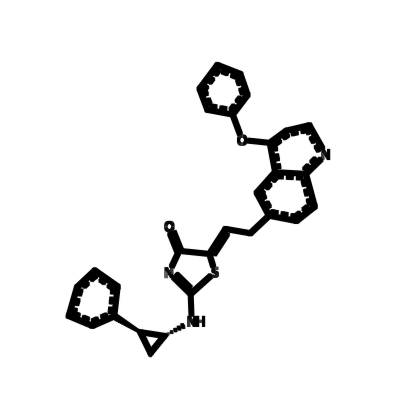 O=C1N=C(N[C@@H]2C[C@H]2c2ccccc2)S/C1=C\Cc1ccc2nccc(Oc3ccccc3)c2c1